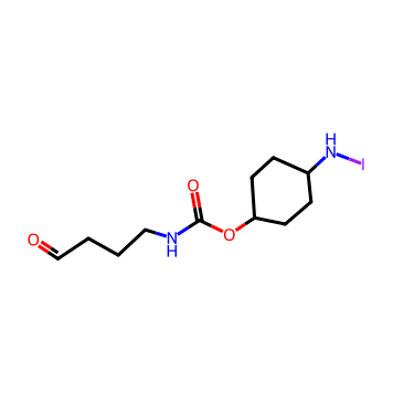 O=CCCCNC(=O)OC1CCC(NI)CC1